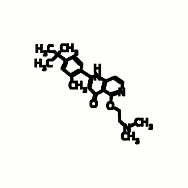 Cc1cc(C(C)(C)C)ccc1-c1cc(=O)c2c(OCCN(C)C)nccc2[nH]1